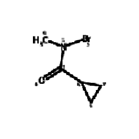 CN(Br)C(=O)C1CC1